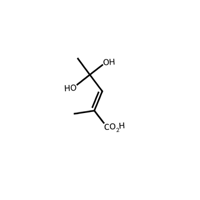 C/C(=C\C(C)(O)O)C(=O)O